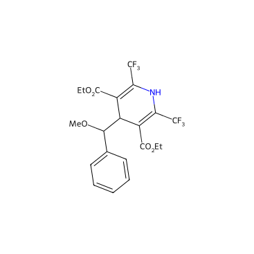 CCOC(=O)C1=C(C(F)(F)F)NC(C(F)(F)F)=C(C(=O)OCC)C1C(OC)c1ccccc1